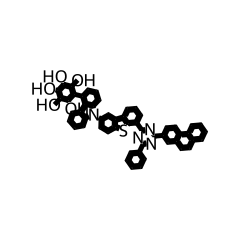 Oc1c(O)c(O)c(-c2cccc3c2c2ccccc2n3-c2ccc3sc4c(-c5nc(-c6ccccc6)nc(-c6ccc7c(ccc8ccccc87)c6)n5)cccc4c3c2)c(O)c1O